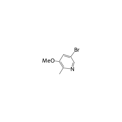 COc1cc(Br)cnc1C